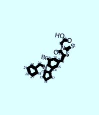 O=C(O)CN1C(=O)/C(=C\c2cc(Br)c3c(c2)C2CCCC2N3Cc2ccccc2)SC1=S